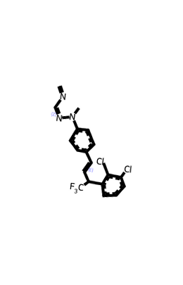 C=N/C=N\N(C)c1ccc(/C=C/C(c2cccc(Cl)c2Cl)C(F)(F)F)cc1